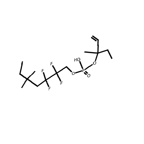 C=CC(C)(CC)OP(=O)(O)OCC(F)(F)C(F)(F)CC(C)(C)CC